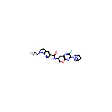 CCn1ccc2cc(C(=O)NC3COc4nc(N5CC6CC(C5)N6)c(F)nc4C3)cnc21